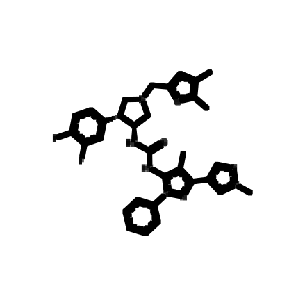 Cc1cc(CN2C[C@@H](NC(=O)Nc3c(C)c(-c4cnn(C)c4)nn3-c3ccccc3)[C@H](c3ccc(F)c(F)c3)C2)oc1C